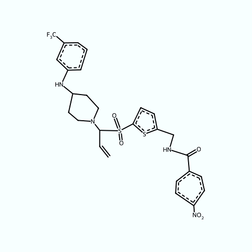 C=CC(N1CCC(Nc2cccc(C(F)(F)F)c2)CC1)S(=O)(=O)c1ccc(CNC(=O)c2ccc([N+](=O)[O-])cc2)s1